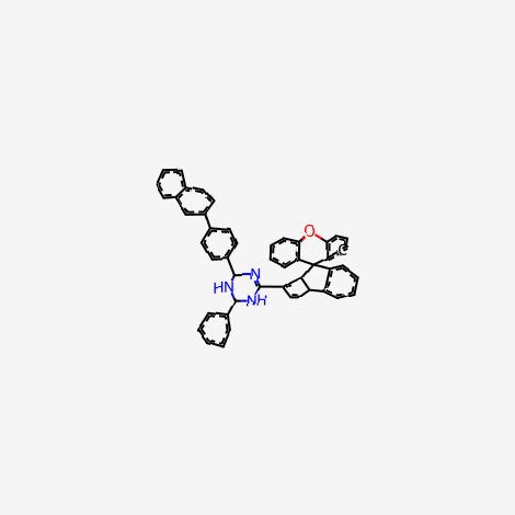 C1=CC2c3ccccc3C3(c4ccccc4Oc4ccccc43)C2C=C1C1=NC(c2ccc(-c3ccc4ccccc4c3)cc2)NC(c2ccccc2)N1